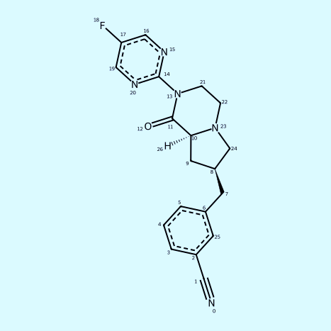 N#Cc1cccc(C[C@H]2C[C@H]3C(=O)N(c4ncc(F)cn4)CCN3C2)c1